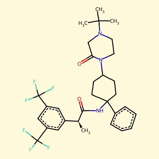 C[C@H](C(=O)NC1(c2ccccc2)CCC(N2CCN(C(C)(C)C)CC2=O)CC1)c1cc(C(F)(F)F)cc(C(F)(F)F)c1